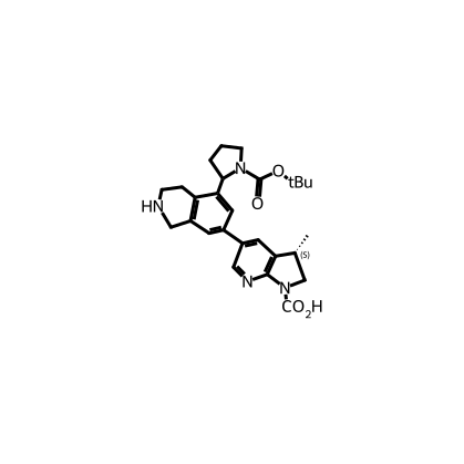 C[C@@H]1CN(C(=O)O)c2ncc(-c3cc4c(c(C5CCCN5C(=O)OC(C)(C)C)c3)CCNC4)cc21